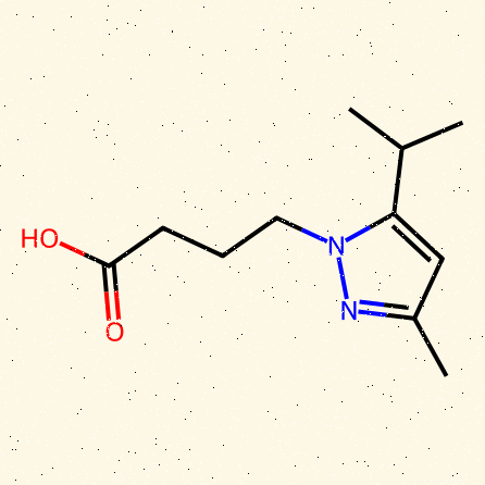 Cc1cc(C(C)C)n(CCCC(=O)O)n1